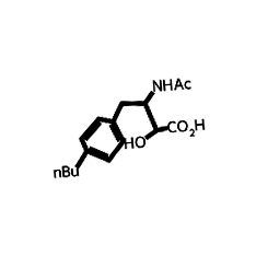 CCCCc1ccc(CC(NC(C)=O)C(O)C(=O)O)cc1